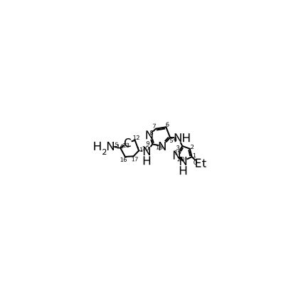 CCc1cc(Nc2ccnc(N[C@H]3CC[C@H](N)CC3)n2)n[nH]1